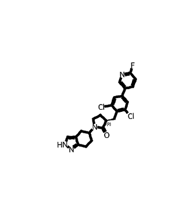 O=C1[C@H](Cc2c(Cl)cc(-c3ccc(F)nc3)cc2Cl)CCN1C1CCc2n[nH]cc2C1